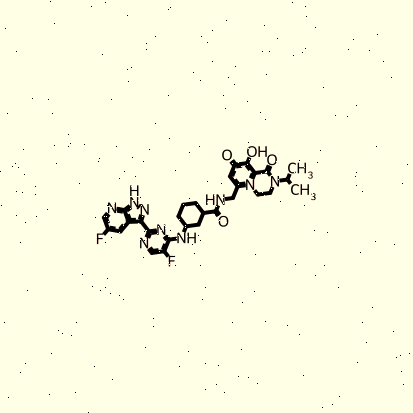 CC(C)N1CCn2c(CNC(=O)C3CCCC(Nc4nc(-c5n[nH]c6ncc(F)cc56)ncc4F)C3)cc(=O)c(O)c2C1=O